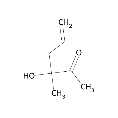 C=CCC(C)(O)C(C)=O